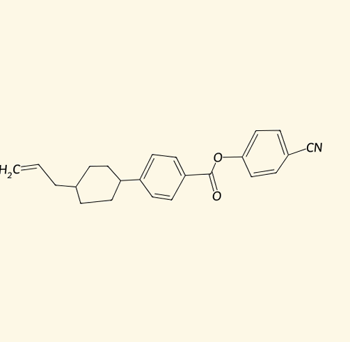 C=CCC1CCC(c2ccc(C(=O)Oc3ccc(C#N)cc3)cc2)CC1